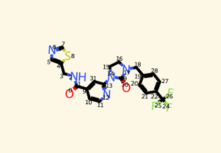 O=C(NCc1cncs1)c1ccnc(N2CCN(Cc3ccc(C(F)(F)F)cc3)C2=O)c1